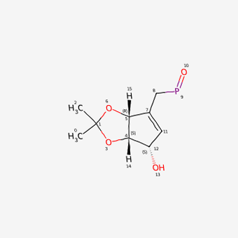 CC1(C)O[C@@H]2[C@H](O1)C(CP=O)=C[C@@H]2O